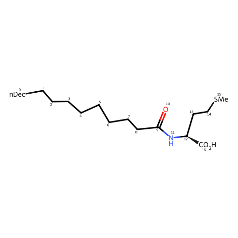 CCCCCCCCCCCCCCCCCCC(=O)N[C@@H](CCSC)C(=O)O